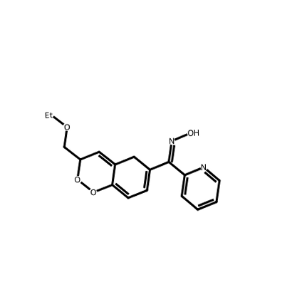 CCOCC1C=C2CC(C(=NO)c3ccccn3)=CC=C2OO1